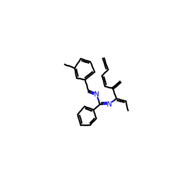 C=C/C=C\C(=C)C(=C/C)/N=C(\N=C\c1cccc(C)c1)c1ccccc1